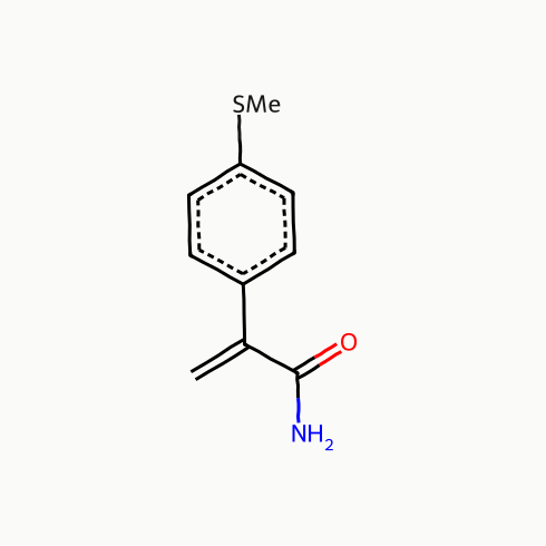 C=C(C(N)=O)c1ccc(SC)cc1